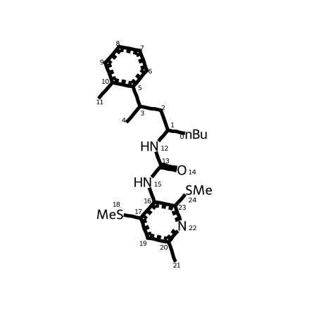 CCCCC(CC(C)c1ccccc1C)NC(=O)Nc1c(SC)cc(C)nc1SC